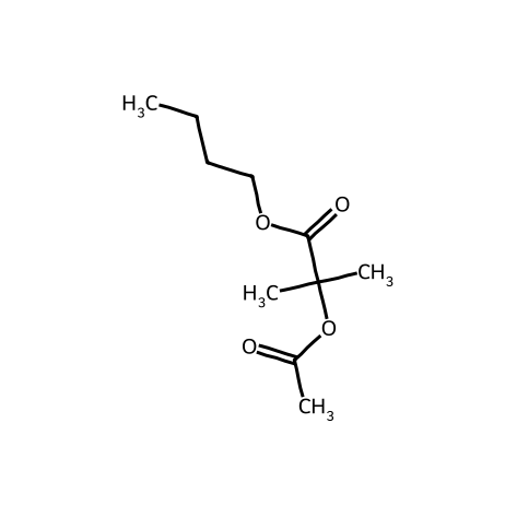 CCCCOC(=O)C(C)(C)OC(C)=O